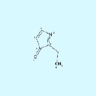 CCC1=NC=CC1=O